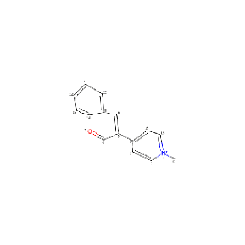 C[n+]1ccc(C(C=O)=Cc2ccccc2)cc1